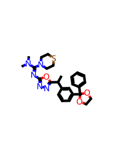 CC(c1cccc(C2(c3ccccc3)OCCO2)c1)c1nnc(N=C(N(C)C)N2CCSCC2)o1